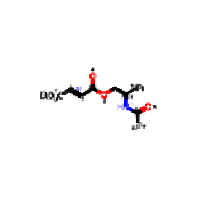 CCOC(=O)/C=C/C(=O)OC[C@H](NC(=O)C(C)C)C(C)C